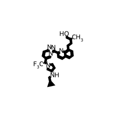 C[C@H](CO)CCc1cccc2ccc(-c3nnc4ccc([C@@H](N5CC[C@H](NCC6CC6)C5)C(F)(F)F)cn34)nc12